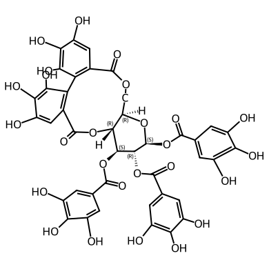 O=C(O[C@@H]1O[C@@H]2COC(=O)c3cc(O)c(O)c(O)c3-c3c(cc(O)c(O)c3O)C(=O)O[C@H]2[C@H](OC(=O)c2cc(O)c(O)c(O)c2)[C@H]1OC(=O)c1cc(O)c(O)c(O)c1)c1cc(O)c(O)c(O)c1